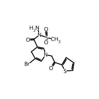 CS(=O)(=O)N(N)C(=O)C1=CN(CC(=O)c2cccs2)C=C(Br)C1